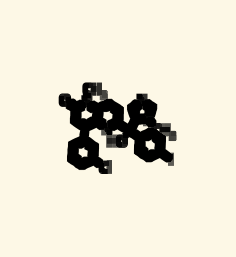 Cn1cncc1[C@@](O)(c1ccc(I)cc1)c1ccc2c(n1)c(-c1cccc(Cl)c1)cc(=O)n2C